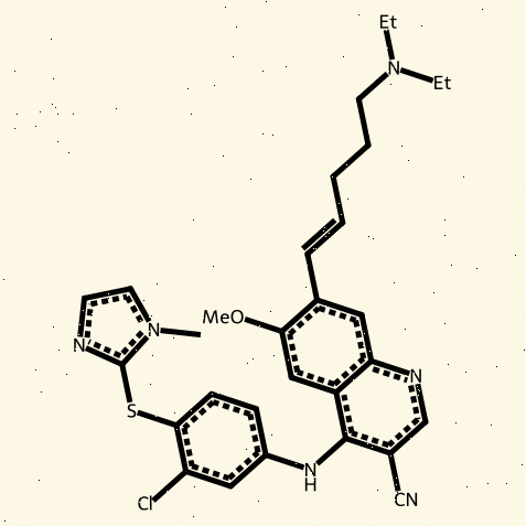 CCN(CC)CCCC=Cc1cc2ncc(C#N)c(Nc3ccc(Sc4nccn4C)c(Cl)c3)c2cc1OC